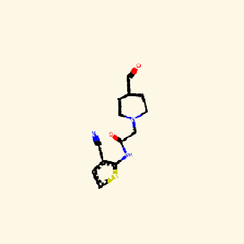 N#Cc1ccsc1NC(=O)CN1CCC(C=O)CC1